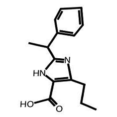 CCCc1nc(C(C)c2ccccc2)[nH]c1C(=O)O